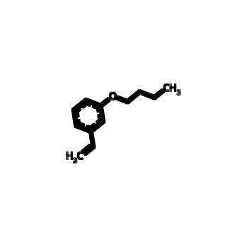 C=Cc1cccc(OCCCC)c1